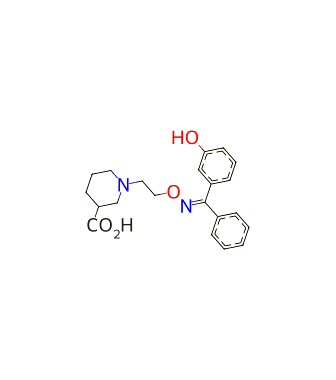 O=C(O)C1CCCN(CCON=C(c2ccccc2)c2cccc(O)c2)C1